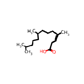 CC(=CCC(=O)O)CCCC(C)CCCC(C)C